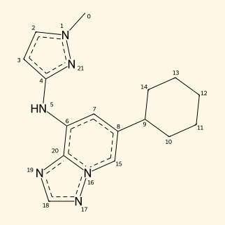 Cn1ccc(Nc2cc(C3CCCCC3)cn3ncnc23)n1